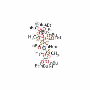 CCCCCCn1c(-c2sc(C)c3c2OCC(COCC(CC)CCCC)(COCC(CC)CCCC)CO3)c(C)c(OCCCC)c1-c1sc(-c2sc(C)c3c2OCC(COCC(CC)CCCC)(COCC(CC)CCCC)CO3)c2c1OCC(COCC(CC)CCCC)(COCC(CC)CCCC)CO2